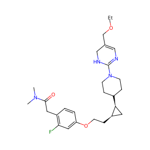 CCOCC1=CN=C(N2CCC([C@H]3C[C@H]3CCOc3ccc(CC(=O)N(C)C)c(F)c3)CC2)NC1